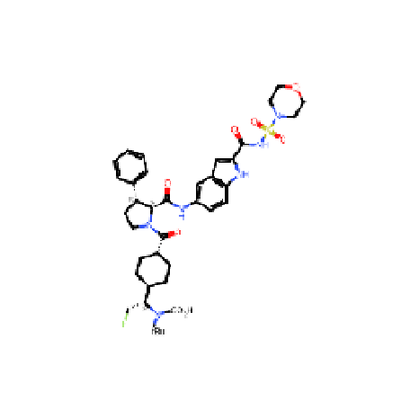 CC(C)(C)N(C(=O)O)[C@H](CF)[C@H]1CC[C@H](C(=O)N2CC[C@H](c3ccccc3)[C@H]2C(=O)Nc2ccc3[nH]c(C(=O)NS(=O)(=O)N4CCOCC4)cc3c2)CC1